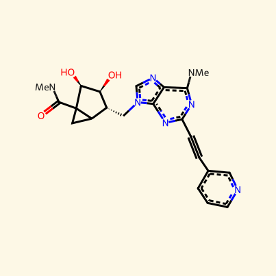 CNC(=O)C12CC1[C@@H](Cn1cnc3c(NC)nc(C#Cc4cccnc4)nc31)[C@H](O)[C@@H]2O